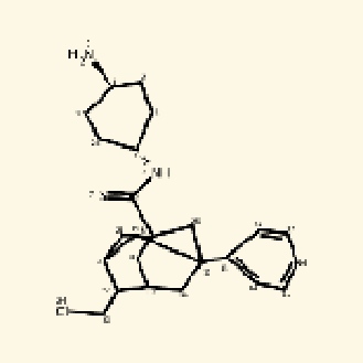 N[C@H]1CC[C@H](NC(=S)C23CC4CC(c5ccccc5)(CC(C2)C4CCl)C3)CC1